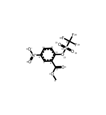 COC(=O)c1cc([N+](=O)[O-])ccc1OS(=O)(=O)C(F)(F)F